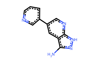 Nc1n[nH]c2ncc(-c3cccnc3)cc12